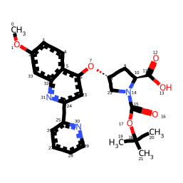 COc1ccc2c(O[C@@H]3C[C@@H](C(=O)O)N(C(=O)OC(C)(C)C)C3)cc(-c3ccccn3)nc2c1